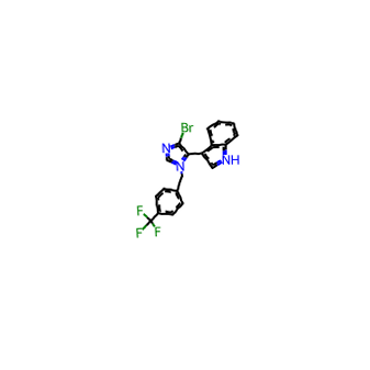 FC(F)(F)c1ccc(Cn2cnc(Br)c2-c2c[nH]c3ccccc23)cc1